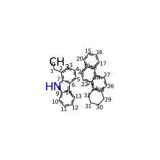 CCc1cccc2c1[nH]c1ccccc12.c1ccc2c(c1)ccc1c3c(ccc12)CCCC3